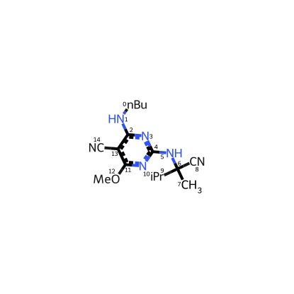 CCCCNc1nc(NC(C)(C#N)C(C)C)nc(OC)c1C#N